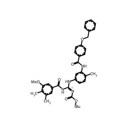 COc1cc(C(=O)N/C(=N\C(=O)OC(C)(C)C)Nc2ccc(C)c(NC(=O)c3ccc(OCc4ccccc4)cc3)c2)cc(C)c1C